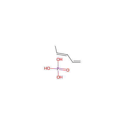 C=CC=CC.O=P(O)(O)O